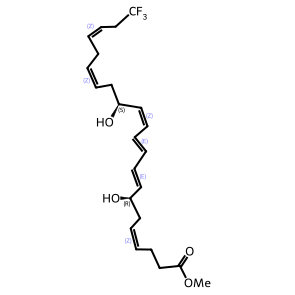 COC(=O)CC/C=C\C[C@@H](O)/C=C/C=C/C=C\[C@@H](O)C/C=C\C/C=C\CC(F)(F)F